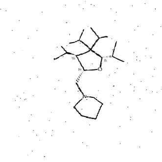 CC(C)[C@@H]1[C@@H](CN2CCCCC2)O[C@@H](C(C)C)C1(C(C)C)C(C)C